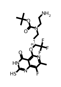 Cc1nc(O[C@H](CCN(CCN)C(=O)OC(C)(C)C)C(F)(F)F)c2c(=O)[nH]c(S)nc2c1F